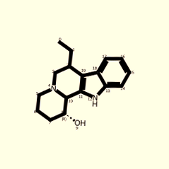 CCC1CN2CCC[C@@H](O)C2c2[nH]c3ccccc3c21